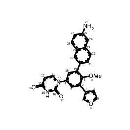 COc1c(-c2ccoc2)cc(-n2ccc(=O)[nH]c2=O)cc1-c1ccc2cc(N)ccc2c1